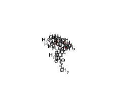 C/C=C/C1=CC2=CC3=C(C(=O)CCCCC)C(=O)OC3(C)C(=O)C2=CN1C1[C@](C)(O)[C@](C)(O)C(C)(CO)O[C@@]1(C)COC[C@]1(C)C(C)(CO)OC(C)(C)C(N)[C@]1(C)O